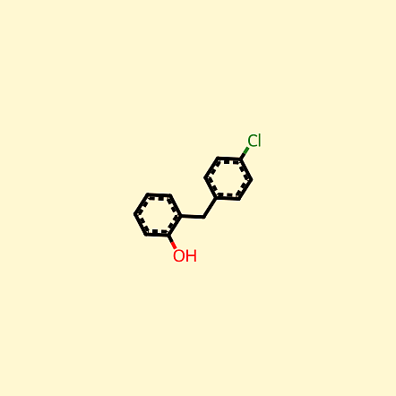 Oc1ccccc1Cc1ccc(Cl)cc1